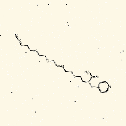 [N-]=[N+]=NCCOCCOCCOCCOCCC(Cc1ccncc1)C(N)=O